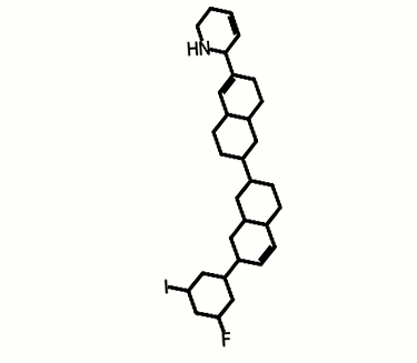 FC1CC(I)CC(C2C=CC3CCC(C4CCC5C=C(C6C=CCCN6)CCC5C4)CC3C2)C1